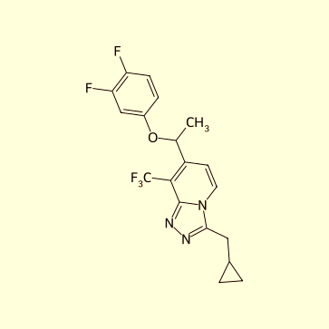 CC(Oc1ccc(F)c(F)c1)c1ccn2c(CC3CC3)nnc2c1C(F)(F)F